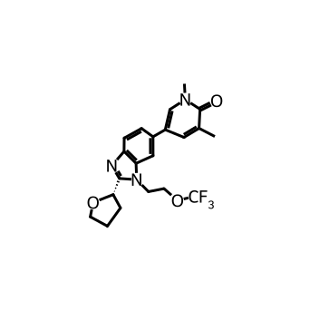 Cc1cc(-c2ccc3nc([C@@H]4CCCO4)n(CCOC(F)(F)F)c3c2)cn(C)c1=O